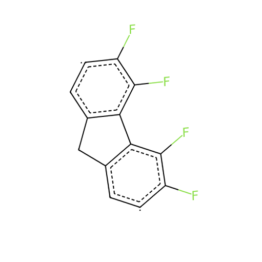 Fc1[c]cc2c(c1F)-c1c(c[c]c(F)c1F)C2